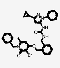 Cc1cc(OCc2ccccc2CNC(=O)Nc2cc(C3CC3)nn2-c2ccccc2)c(Br)c(=O)n1Cc1ccccc1